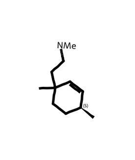 CNCCC1(C)C=C[C@@H](C)CC1